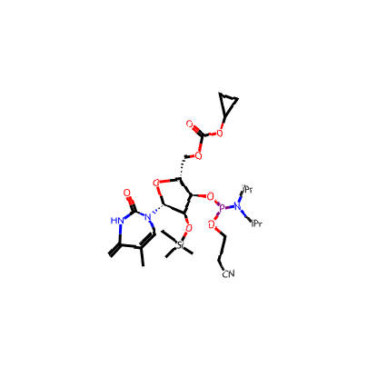 C=C1NC(=O)N([C@@H]2O[C@H](COC(=O)OC3CC3)[C@@H](OP(OCCC#N)N(C(C)C)C(C)C)C2O[Si](C)(C)C)C=C1C